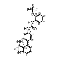 Nc1onc2cccc(-c3ccc(NC(=O)Nc4ccccc4OC(F)(F)F)cc3)c12